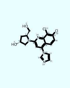 OC[C@@H]1C[C@@H](O)CN1c1cc(-n2ccnc2)c2ccc(Cl)c(Cl)c2n1